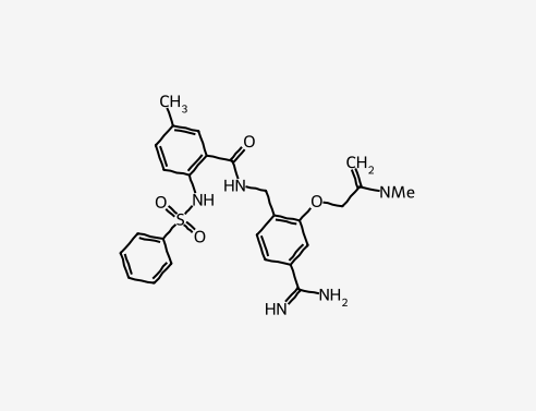 C=C(COc1cc(C(=N)N)ccc1CNC(=O)c1cc(C)ccc1NS(=O)(=O)c1ccccc1)NC